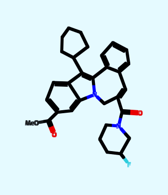 COC(=O)c1ccc2c(C3CCCCC3)c3n(c2c1)CC(C(=O)N1CCCC(F)C1)=Cc1ccccc1-3